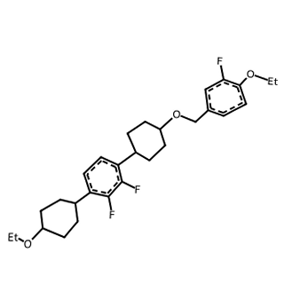 CCOc1ccc(COC2CCC(c3ccc(C4CCC(OCC)CC4)c(F)c3F)CC2)cc1F